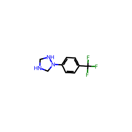 FC(F)(F)c1ccc(N2CNCN2)cc1